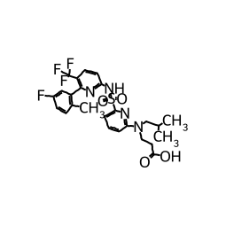 Cc1ccc(F)cc1-c1nc(NS(=O)(=O)c2cccc(N(CCC(=O)O)CC(C)C)n2)ccc1C(F)(F)F